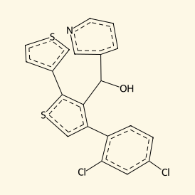 OC(c1cccnc1)c1c(-c2ccc(Cl)cc2Cl)csc1-c1ccsc1